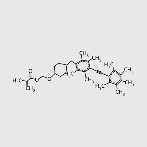 C=C(C)C(=O)OCOC1CCC(Cc2c(C)c(C)c(C#Cc3c(C)c(C)c(C)c(C)c3C)c(C)c2C)CC1